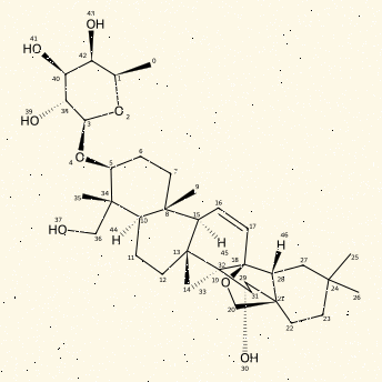 C[C@H]1O[C@@H](O[C@H]2CC[C@@]3(C)[C@@H](CC[C@]4(C)[C@@H]3C=C[C@]35OC[C@@]6(CCC(C)(C)C[C@H]63)[C@@H](O)C[C@]54C)[C@]2(C)CO)[C@H](O)[C@@H](O)[C@H]1O